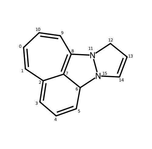 C1=CC2=CC=CC3C2=C(C=C1)N1CC=CN31